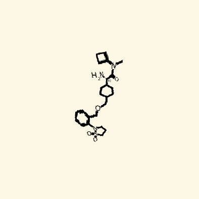 CN(C(=O)[C@@H](N)C1CCC(COCc2ccccc2N2CCCS2(=O)=O)CC1)C1CCC1